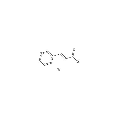 O=C([O-])C=Cc1cccnc1.[Na+]